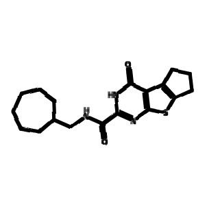 O=C(NCC1CCCCCC1)c1nc2sc3c(c2c(=O)[nH]1)CCC3